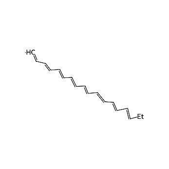 [CH]=C/C=C/C=C/C=C/C=C/C=C/C=C/C=C/CC